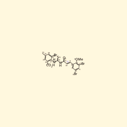 COc1c(Br)cc(Br)cc1/C=C/C(=O)NC(=S)Nc1c(Br)cc(C)cc1C(=O)O